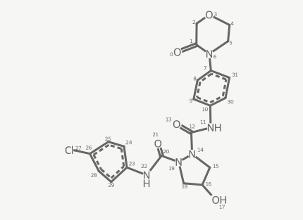 O=C1COCCN1c1ccc(NC(=O)N2CC(O)CN2C(=O)Nc2ccc(Cl)cc2)cc1